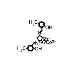 CC(=O)[O-].CC(=O)[O-].Cc1ccc(O)c(C=NC2CCC(N=Cc3cc(C)ccc3O)C2)c1.[Co+2]